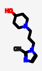 O=Nc1nccn1CCCN1CCC(O)CC1